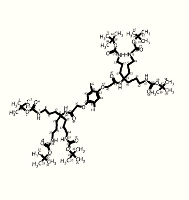 CC(C)(C)OC(=O)NCCCC(CCCNC(=O)OC(C)(C)C)(CCCNC(=O)OC(C)(C)C)NC(=O)COc1cc(I)c(OCC(=O)NC(CCCNC(=O)OC(C)(C)C)(CCCNC(=O)OC(C)(C)C)CCCNC(=O)OC(C)(C)C)cc1I